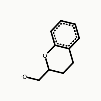 [O]CC1CCc2ccccc2O1